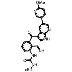 CCCCNC(=O)Nc1cccc(C(=O)c2c[nH]c3ncc(-c4ccc(OC)nc4)cc23)c1C=N